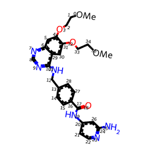 COCCOc1cc2ncnc(NCc3ccc(C(=O)Nc4ccnc(N)c4)cc3)c2cc1OCCOC